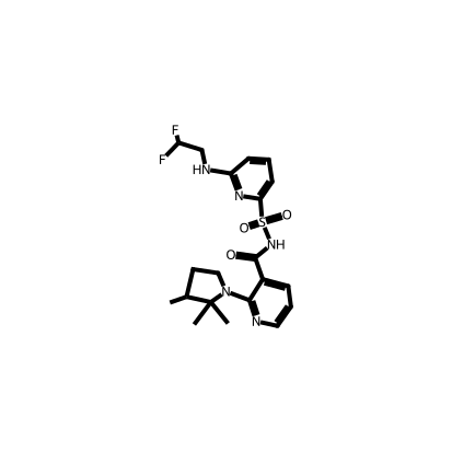 CC1CCN(c2ncccc2C(=O)NS(=O)(=O)c2cccc(NCC(F)F)n2)C1(C)C